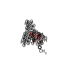 CCP(P=O)N(CCN(OP(CC)P(P(P=O)P(P=O)P(P=O)P(P=O)P(P=O)PP=O)P(P=O)P(P=O)P(P=O)P(P=O)P(P=O)P(P=O)PP=O)OP(CC)P(P(P=O)P(P=O)P(P=O)P(P=O)P(P=O)PP=O)P(P=O)P(P=O)P(P=O)P(P=O)P(P=O)P(P=O)PP=O)P(COS(=O)(=O)c1ccc(C)cc1)P=O